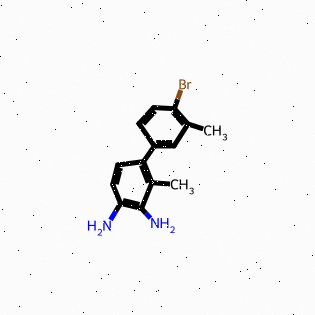 Cc1cc(-c2ccc(N)c(N)c2C)ccc1Br